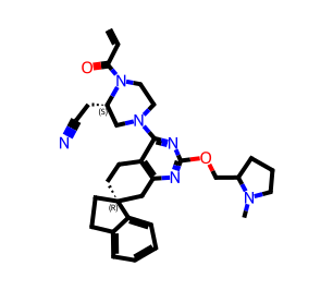 C=CC(=O)N1CCN(c2nc(OCC3CCCN3C)nc3c2CC[C@]2(CCc4ccccc42)C3)C[C@@H]1CC#N